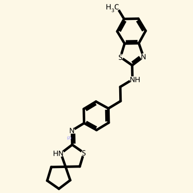 Cc1ccc2nc(NCCc3ccc(/N=C4/NC5(CCCC5)CS4)cc3)sc2c1